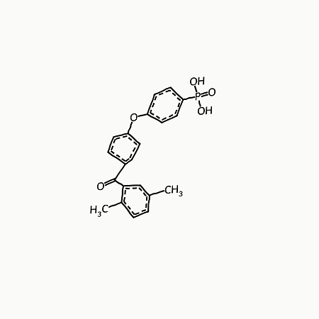 Cc1ccc(C)c(C(=O)c2ccc(Oc3ccc(P(=O)(O)O)cc3)cc2)c1